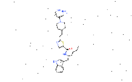 CCCCC(Cc1c[nH]c2ccccc12)NC(=O)c1cnc(CCC2CCN(C(/C=C\N)=C/N)CC2)s1